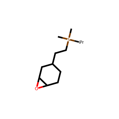 CC(C)S(C)(C)CCC1CCC2OC2C1